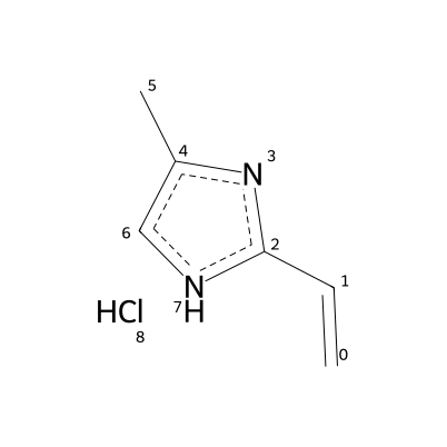 C=Cc1nc(C)c[nH]1.Cl